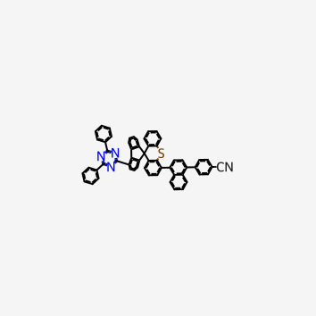 N#Cc1ccc(-c2ccc(-c3cccc4c3Sc3ccccc3C43c4ccccc4-c4c(-c5nc(-c6ccccc6)nc(-c6ccccc6)n5)cccc43)c3ccccc23)cc1